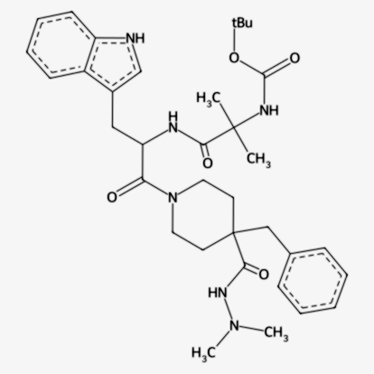 CN(C)NC(=O)C1(Cc2ccccc2)CCN(C(=O)C(Cc2c[nH]c3ccccc23)NC(=O)C(C)(C)NC(=O)OC(C)(C)C)CC1